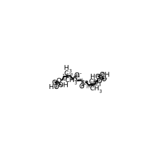 CC(C)(CCOP(=O)(O)O)CC[S+]([O-])CC[S+]([O-])CCC(C)(C)CCOP(=O)(O)O